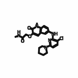 CNC(=O)COc1cc2cc(Nc3nc(N4CCCCC4)ccc3Cl)ccc2n(C)c1=O